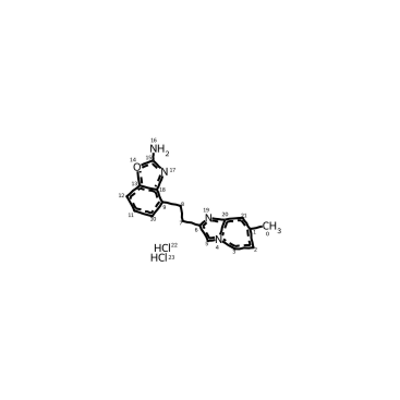 Cc1ccn2cc(CCc3cccc4oc(N)nc34)nc2c1.Cl.Cl